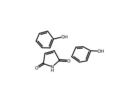 O=C1C=CC(=O)N1.Oc1ccccc1.Oc1ccccc1